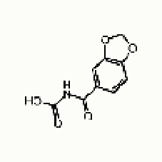 O=C(O)NC(=O)c1ccc2c(c1)OCO2